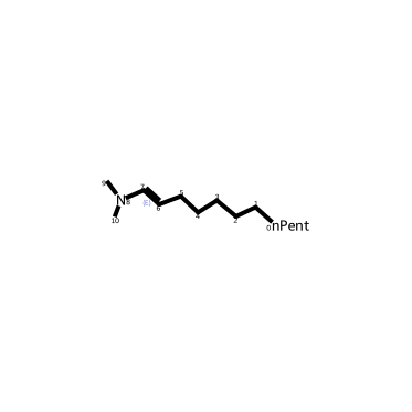 CCCCCCCCCC/C=C/N(C)C